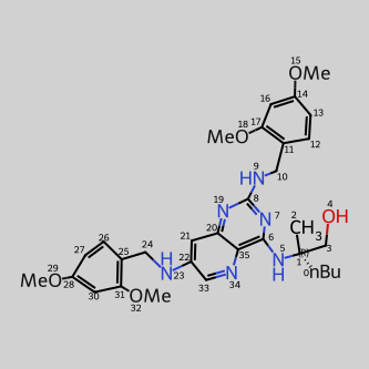 CCCC[C@](C)(CO)Nc1nc(NCc2ccc(OC)cc2OC)nc2cc(NCc3ccc(OC)cc3OC)cnc12